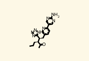 CCC[C@H](C(C)=O)[C@H](Cc1ccc(-c2cnc(N)nc2)nc1)c1nnn[nH]1